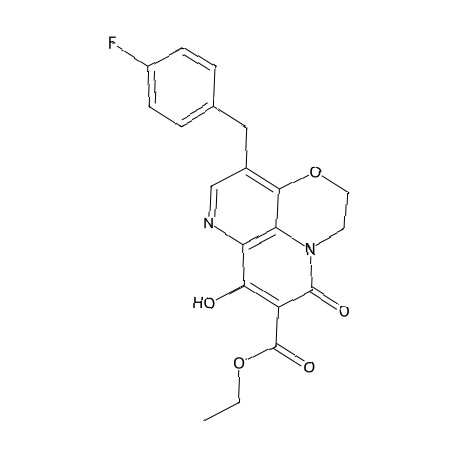 CCOC(=O)c1c(O)c2ncc(Cc3ccc(F)cc3)c3c2n(c1=O)CCO3